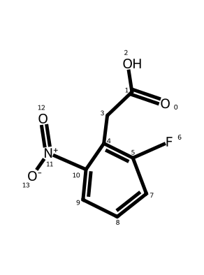 O=C(O)Cc1c(F)cccc1[N+](=O)[O-]